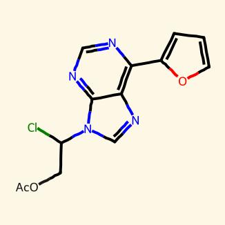 CC(=O)OCC(Cl)n1cnc2c(-c3ccco3)ncnc21